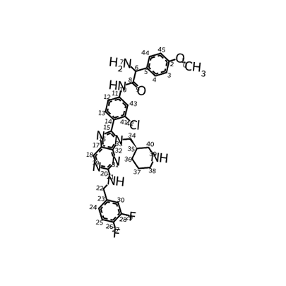 COc1ccc(C(N)C(=O)Nc2ccc(-c3nc4cnc(NCc5ccc(F)c(F)c5)nc4n3C[C@@H]3CCCNC3)c(Cl)c2)cc1